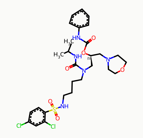 CC(C)NC(=O)N(CCCCNS(=O)(=O)c1ccc(Cl)cc1Cl)C[C@H](CN1CCOCC1)OC(=O)Nc1ccccc1